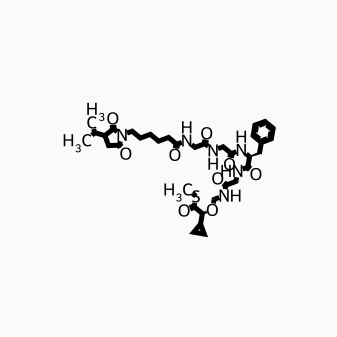 CSC(=O)[C@@H](OCNC(=O)CNC(=O)[C@H](Cc1ccccc1)NC(=O)CNC(=O)CNC(=O)CCCCCN1C(=O)CC(C(C)C)C1=O)C1CC1